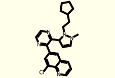 CN1C=CC(c2nccnc2-c2cc(Cl)c3ncccc3c2)N1CCC1CCCC1